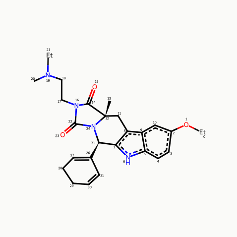 CCOc1ccc2[nH]c3c(c2c1)C[C@@]1(C)C(=O)N(CCN(C)CC)C(=O)N1[C@@H]3C1=CCCC=C1